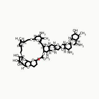 C=C1C[C@@H]2CC[C@@]34OC5C[C@@H](OC6CC[C@H](CC(=O)OC7[C@H](C[C@H]8O[C@@H](CC[C@@H]1O2)C[C@@H](N)C8=C)O[C@H]1C[C@H]2O[C@]8(C[C@@H]9O[C@]%10(C[C@H](N)[C@@H]%11C[C@H](C)[C@H](O)C[C@@H]%11O%10)C[C@H](N)[C@@H]9O8)C[C@H]2O[C@H]1[C@@H]7N)OC65)C(O3)C(O)(O)C4O